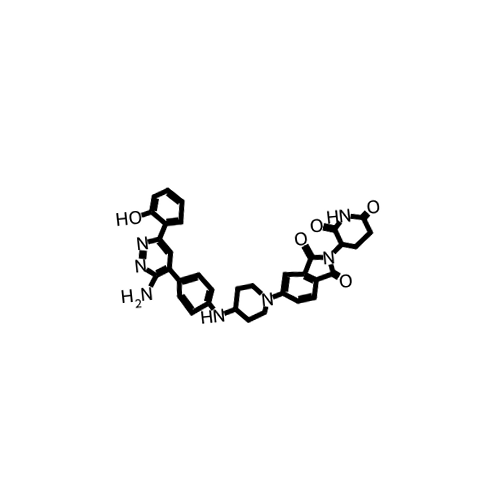 Nc1nnc(-c2ccccc2O)cc1-c1ccc(NC2CCN(c3ccc4c(c3)C(=O)N(C3CCC(=O)NC3=O)C4=O)CC2)cc1